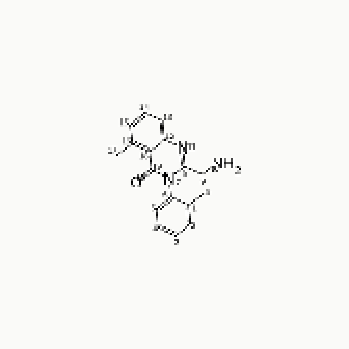 Cc1ccccc1-n1c(CN)nc2cccc(C)c2c1=O